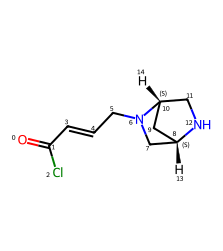 O=C(Cl)C=CCN1C[C@@H]2C[C@H]1CN2